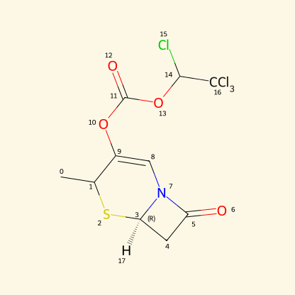 CC1S[C@@H]2CC(=O)N2C=C1OC(=O)OC(Cl)C(Cl)(Cl)Cl